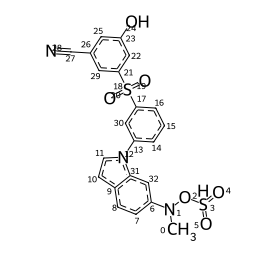 CN(O[SH](=O)=O)c1ccc2ccn(-c3cccc(S(=O)(=O)c4cc(O)cc(C#N)c4)c3)c2c1